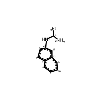 CCC(N)Nc1ccc2ccccc2c1